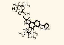 CC(C)(C)Nc1nc2cc(-c3ccn[nH]3)ccc2c2sc(CNC(=O)OC(C)(C)C)nc12